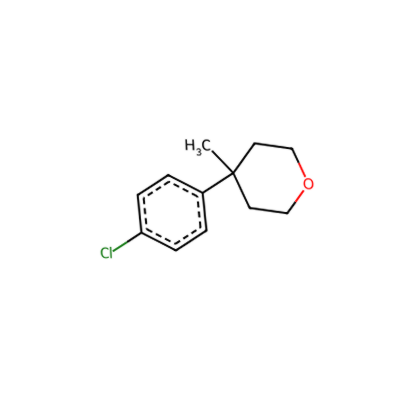 CC1(c2ccc(Cl)cc2)CCOCC1